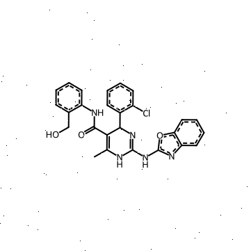 CC1=C(C(=O)Nc2ccccc2CO)C(c2ccccc2Cl)N=C(Nc2nc3ccccc3o2)N1